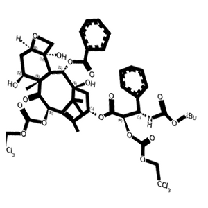 CC1=C2[C@@H](OC(=O)OCC(Cl)(Cl)Cl)C(=O)[C@@]3(C)C([C@H](OC(=O)c4ccccc4)[C@](O)(C[C@@H]1OC(=O)[C@H](OC(=O)OCC(Cl)(Cl)Cl)[C@@H](NC(=O)OC(C)(C)C)c1ccccc1)C2(C)C)[C@]1(O)CO[C@@H]1C[C@@H]3O